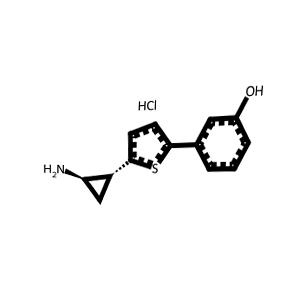 Cl.N[C@@H]1C[C@H]1c1ccc(-c2cccc(O)c2)s1